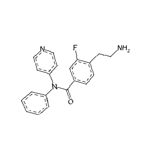 NCCc1ccc(C(=O)N(c2ccccc2)c2ccncc2)cc1F